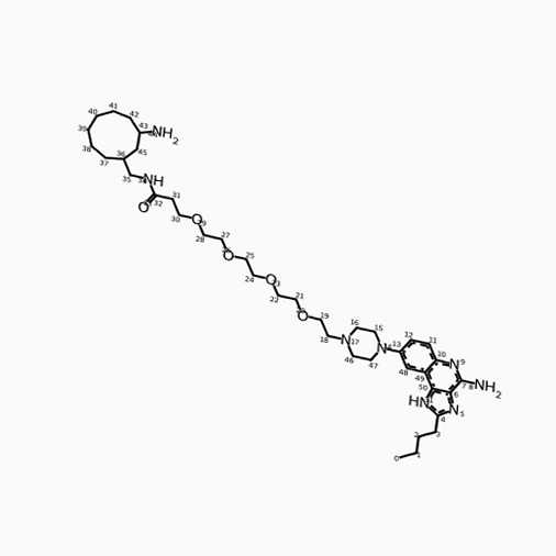 CCCCc1nc2c(N)nc3ccc(N4CCN(CCOCCOCCOCCOCCC(=O)NCC5CCCCCCC(N)C5)CC4)cc3c2[nH]1